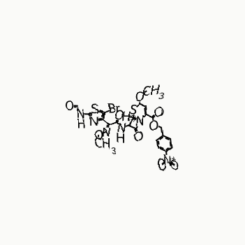 CON=C(C(=O)NC1C(=O)N2C(C(=O)OCc3ccc([N+](=O)[O-])cc3)=CC(OC)S[C@@H]12)c1nc(NC=O)sc1Br